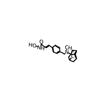 CN(Cc1ccc(/C=C/C(=O)NO)cc1)C12CC3CC=C1C(C3)C2